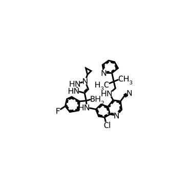 BC(Nc1cc(Cl)c2ncc(C#N)c(NCC(C)(C)c3ccccn3)c2c1)(C1=CN(C2CC2)NN1)c1ccc(F)cc1